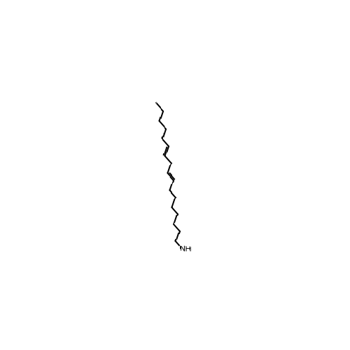 CCCCCC=CCC=CCCCCCCC[NH]